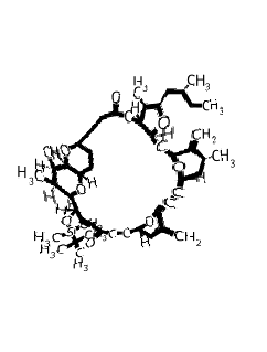 C=C1C[C@@H]2CCC(=O)/C=C/[C@H](O[Si](C)(C)C(C)(C)C)[C@@H]3O[C@H]4CCC(CC(=O)C[C@@H]5[C@@H](C)[C@@H](C[C@H](C)CC)O[C@H]5CC5O[C@@H](CCC1O2)C[C@@H](C)C5=C)O[C@@H]4[C@H](C)[C@@H]3C